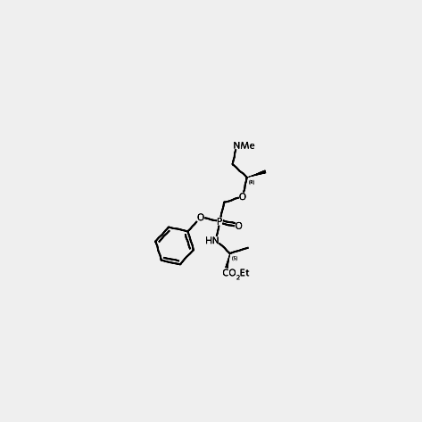 CCOC(=O)[C@H](C)NP(=O)(CO[C@H](C)CNC)Oc1ccccc1